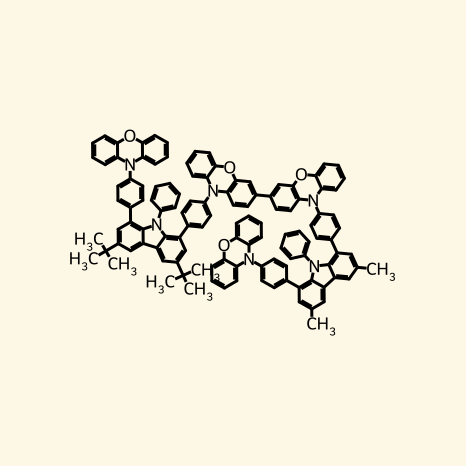 Cc1cc(-c2ccc(N3c4ccccc4Oc4ccccc43)cc2)c2c(c1)c1cc(C)cc(-c3ccc(N4c5ccccc5Oc5cc(-c6ccc7c(c6)Oc6ccccc6N7c6ccc(-c7cc(C(C)(C)C)cc8c9cc(C(C)(C)C)cc(-c%10ccc(N%11c%12ccccc%12Oc%12ccccc%12%11)cc%10)c9n(-c9ccccc9)c78)cc6)ccc54)cc3)c1n2-c1ccccc1